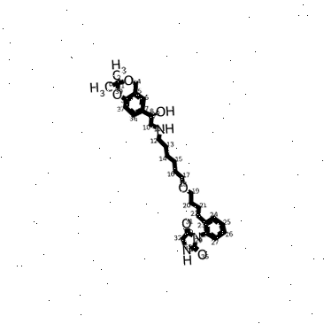 CC1(C)OCc2cc([C@@H](O)CNCCCCCCOCCCCc3ccccc3N3C(=O)CNC3=O)ccc2O1